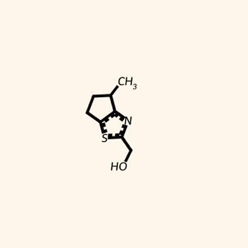 CC1CCc2sc(CO)nc21